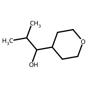 CC(C)C(O)C1CCOCC1